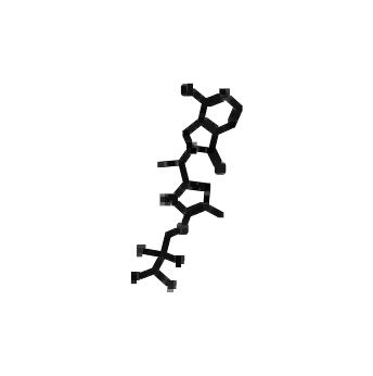 Cc1cc(C(C)N2Cc3c(ccnc3Cl)C2=O)[nH]c1OCC(F)(F)C(F)F